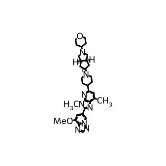 COc1cc(-c2nc3c(C)cc(C4CCN([C@H]5C[C@@H]6CN(C7CCOCC7)C[C@@H]6C5)CC4)nc3n2C)cn2ncnc12